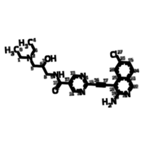 CCN(CC)CC(O)CNC(=O)c1cnc(C#Cc2c(N)ncc3ccc(Cl)cc23)nc1